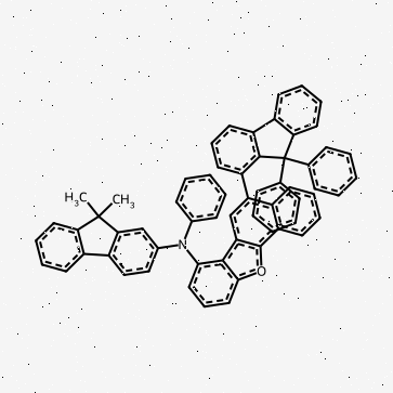 CC1(C)c2ccccc2-c2ccc(N(c3ccccc3)c3cccc4oc5c6ccccc6c(-c6cccc7c6C(c6ccccc6)(c6ccccc6)c6ccccc6-7)cc5c34)cc21